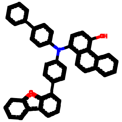 Oc1ccc(N(c2ccc(-c3ccccc3)cc2)c2ccc(-c3cccc4c3oc3ccccc34)cc2)c2ccc3ccccc3c12